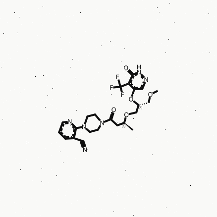 COC[C@H](CO[C@@H](C)CC(=O)N1CCN(c2ncccc2C#N)CC1)Oc1cn[nH]c(=O)c1C(F)(F)F